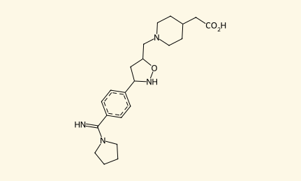 N=C(c1ccc(C2CC(CN3CCC(CC(=O)O)CC3)ON2)cc1)N1CCCC1